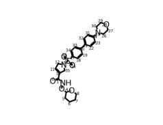 O=C(NOC1CCCCO1)C1=CCN(S(=O)(=O)c2ccc(-c3ccc(N4CCOCC4)cc3)cc2)C1